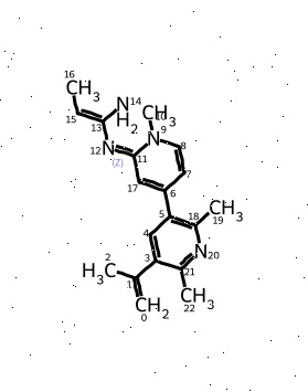 C=C(C)c1cc(-c2ccn(C)/c(=N\C(N)=CC)c2)c(C)nc1C